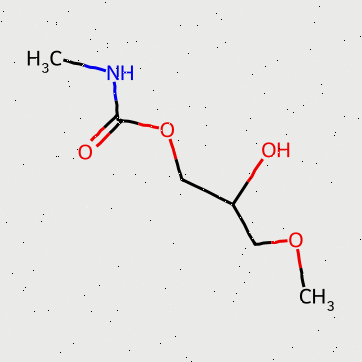 CNC(=O)OCC(O)COC